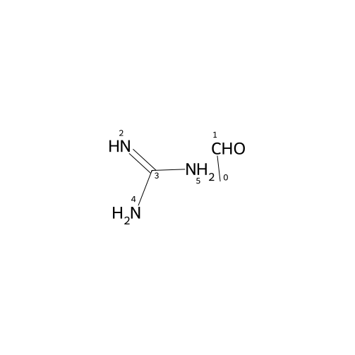 CC=O.N=C(N)N